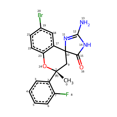 C[C@]1(c2ccccc2F)CC2(N=C(N)NC2=O)c2cc(Br)ccc2O1